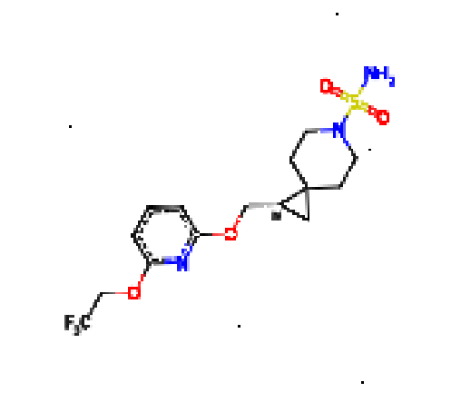 NS(=O)(=O)N1CCC2(CC1)C[C@@H]2COc1cccc(OCC(F)(F)F)n1